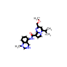 COCc1cc(C(C)C)n2ccc(C(=O)Nc3cccc4c3CNCN4C)c2n1